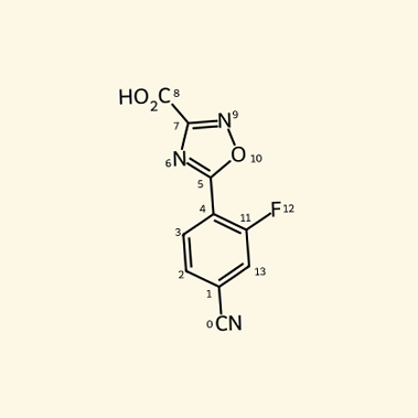 N#Cc1ccc(-c2nc(C(=O)O)no2)c(F)c1